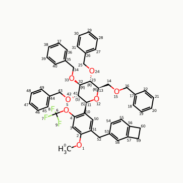 COc1cc(OC(F)(F)F)c([C@@H]2O[C@H](COCc3ccccc3)[C@@H](OCc3ccccc3)[C@H](OCc3ccccc3)[C@H]2OCc2ccccc2)cc1Cc1ccc2c(c1)CC2